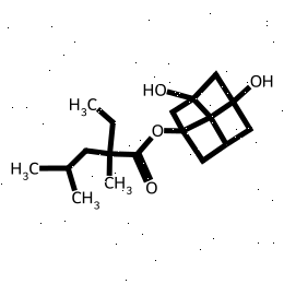 CCC(C)(CC(C)C)C(=O)OC12CC3CC4(O)CC(O)(C1)C342